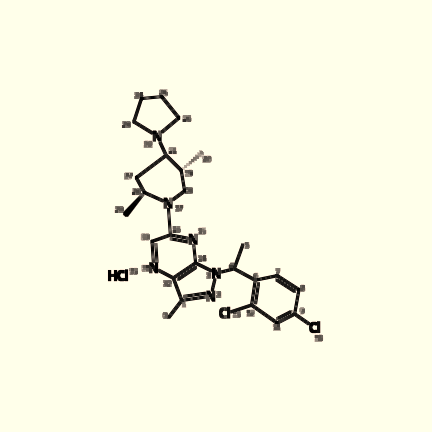 Cc1nn(C(C)c2ccc(Cl)cc2Cl)c2nc(N3C[C@@H](C)C(N4CCCC4)C[C@@H]3C)cnc12.Cl